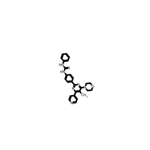 Cc1c(-c2ccncc2)nc(-c2ccc(NC(=S)Nc3ccccc3)cc2)nc1N1CCOCC1